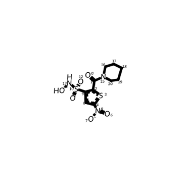 O=C(c1sc([N+](=O)[O-])cc1S(=O)(=O)NO)N1CCCCC1